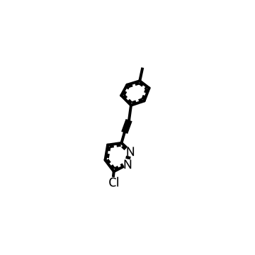 Cc1ccc(C#Cc2ccc(Cl)nn2)cc1